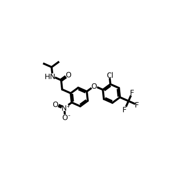 CC(C)NC(=O)Cc1cc(Oc2ccc(C(F)(F)F)cc2Cl)ccc1[N+](=O)[O-]